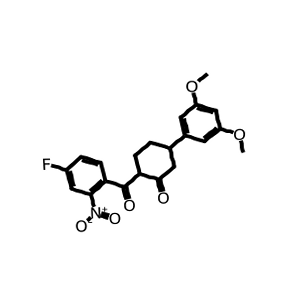 COc1cc(OC)cc(C2CCC(C(=O)c3ccc(F)cc3[N+](=O)[O-])C(=O)C2)c1